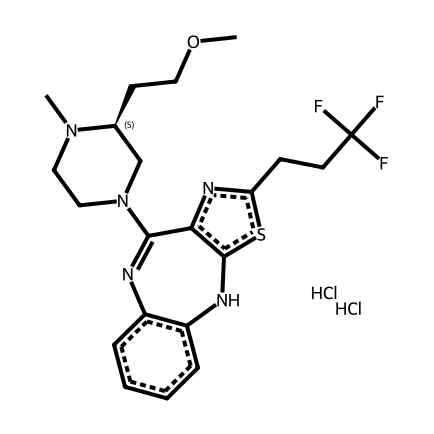 COCC[C@H]1CN(C2=Nc3ccccc3Nc3sc(CCC(F)(F)F)nc32)CCN1C.Cl.Cl